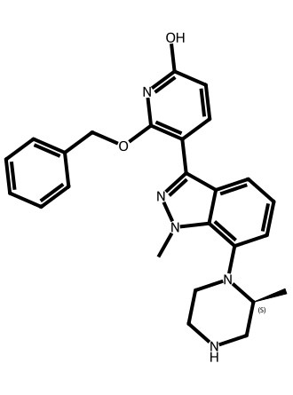 C[C@H]1CNCCN1c1cccc2c(-c3ccc(O)nc3OCc3ccccc3)nn(C)c12